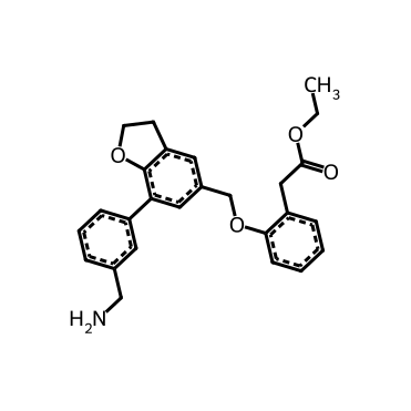 CCOC(=O)Cc1ccccc1OCc1cc2c(c(-c3cccc(CN)c3)c1)OCC2